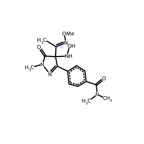 CO/N=C(\C)C1(NO)C(=O)N(C)N=C1c1ccc(C(=O)N(C)C)cc1